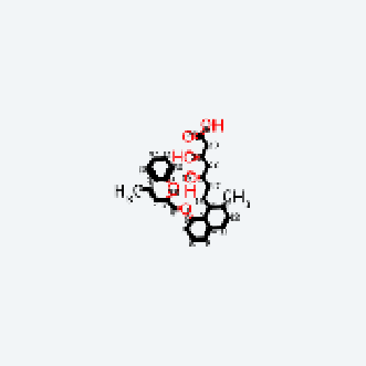 CCCC(COC1CCC=C2C=CC(C)C(CCC(O)CC(O)CC(=O)O)C21)Oc1ccccc1